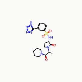 C[C@@H](C(=O)N1CCCCC1)N1CC[C@H](NS(=O)(=O)c2cccc(-c3nnn[nH]3)c2)C1=O